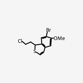 COc1cc2c(cc1Br)C(CCCl)SC=C2